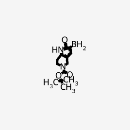 Bc1cc2c([nH]c1=O)CCN(C(=O)OC(C)(C)C)C2